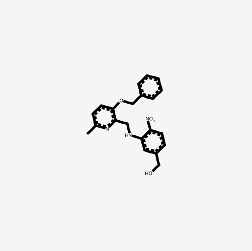 Cc1ccc(OCc2ccccc2)c(CNc2cc(CO)ccc2[N+](=O)[O-])n1